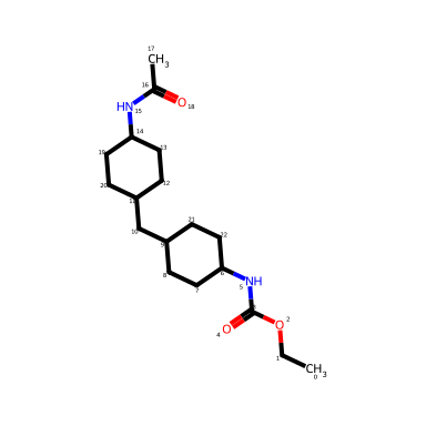 CCOC(=O)NC1CCC(CC2CCC(NC(C)=O)CC2)CC1